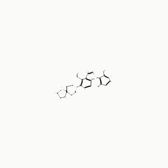 OCc1c(N2CCC3(CCCN3)CC2)ccc2c1ccn2-c1c(Cl)cccc1Cl